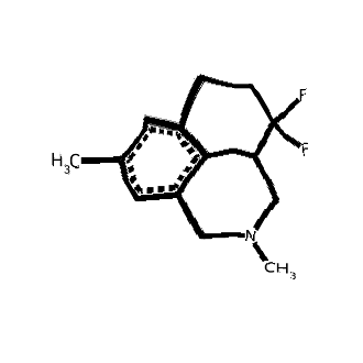 Cc1cc2c3c(c1)CN(C)CC3C(F)(F)CC2